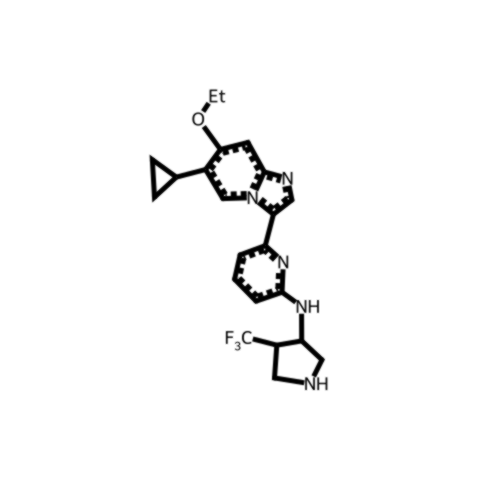 CCOc1cc2ncc(-c3cccc(NC4CNCC4C(F)(F)F)n3)n2cc1C1CC1